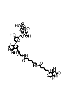 Nc1ncnc2c1c(C#CCNC(=O)CCCCCNC(=O)CCCC[C@@H]1SC[C@@H]3NC(=O)N[C@@H]31)cn2[C@H]1C[C@H](O)[C@@H](COP(=O)(O)OP(=O)(O)OP(=O)(O)O)O1